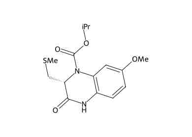 COc1ccc2c(c1)N(C(=O)OC(C)C)[C@@H](CSC)C(=O)N2